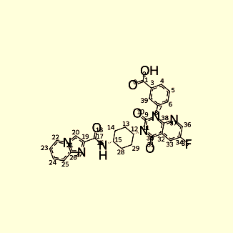 O=C(O)c1cccc(-n2c(=O)n([C@H]3CC[C@@H](NC(=O)c4cn5ccccc5n4)CC3)c(=O)c3cc(F)cnc32)c1